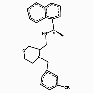 C[C@@H](NCC1COCCN1Cc1cccc(C(F)(F)F)c1)c1cccc2ccccc12